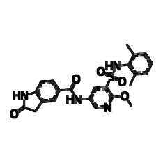 COc1ncc(NC(=O)c2ccc3c(c2)CC(=O)N3)cc1S(=O)(=O)Nc1c(C)cccc1C